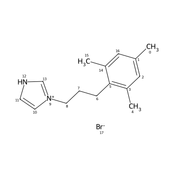 Cc1cc(C)c(CCC[n+]2cc[nH]c2)c(C)c1.[Br-]